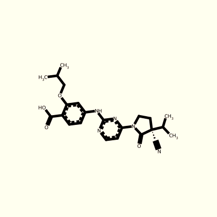 CC(C)COc1cc(Nc2nccc(N3CC[C@@](C#N)(C(C)C)C3=O)n2)ccc1C(=O)O